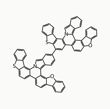 c1ccc2c(c1)cn1c3c(cc(-c4ccc5c(c4)cn4c6c(ccc7sc8ccccc8c76)c6ccc7c8ccccc8oc7c6c54)c4sc5ccccc5c43)c3ccc4oc5ccccc5c4c3c21